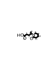 CC(CCC(=O)O)N1CCCCC1=O